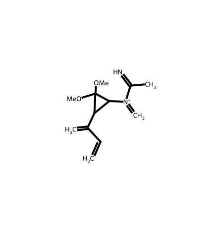 C=CC(=C)C1C([N+](=C)C(C)=N)C1(OC)OC